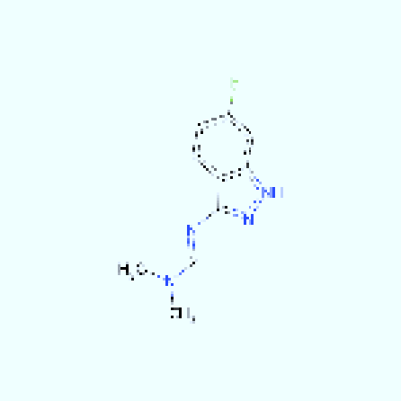 CN(C)C=Nc1n[nH]c2cc(F)ccc12